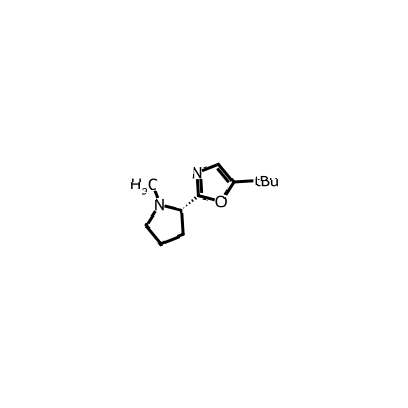 CN1CCC[C@H]1c1ncc(C(C)(C)C)o1